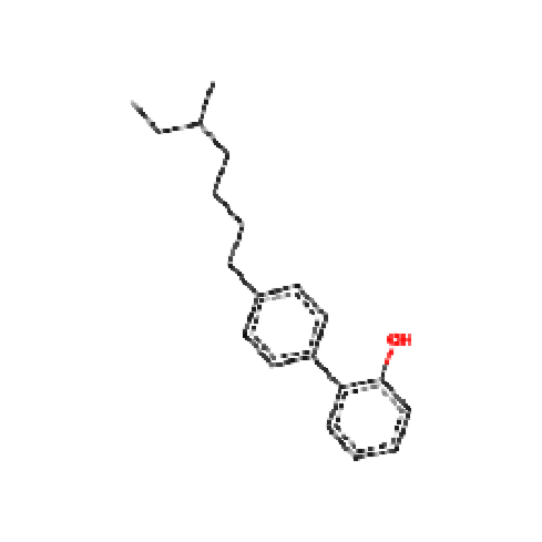 CCC(C)CCCCc1ccc(-c2ccccc2O)cc1